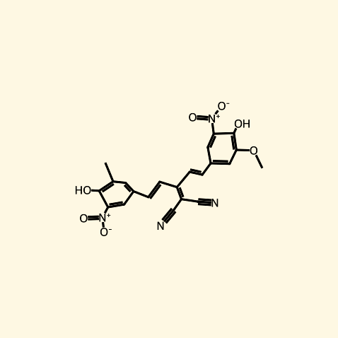 COc1cc(/C=C/C(/C=C/c2cc(C)c(O)c([N+](=O)[O-])c2)=C(C#N)C#N)cc([N+](=O)[O-])c1O